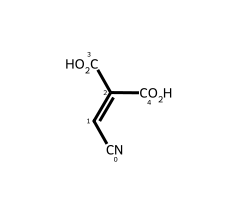 N#CC=C(C(=O)O)C(=O)O